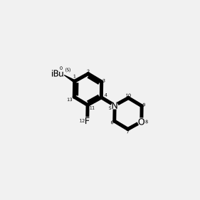 CC[C@H](C)c1ccc(N2CCOCC2)c(F)c1